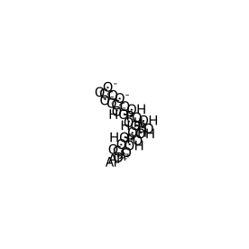 O=P(O)(O)O.O=P(O)(O)O.O=P(O)(O)O.[Al+3].[Al+3].[O]=[Cr](=[O])([O-])[O-].[O]=[Cr](=[O])([O-])[O-].[O]=[Cr](=[O])([O-])[O-]